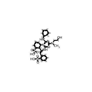 CN(CCO)c1nc(NC(=Cc2ccccc2S(=O)(=O)O)c2ccccc2S(=O)(=O)O)nc(Nc2ccccc2)n1